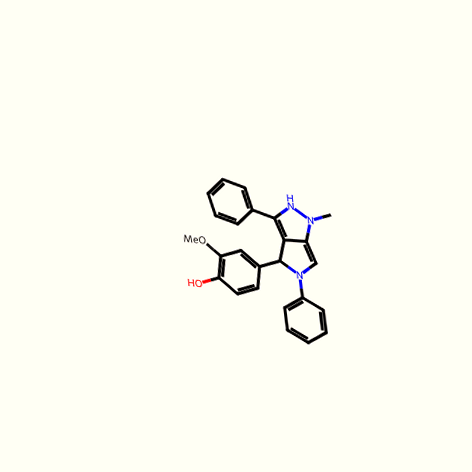 COc1cc(C2C3=C(c4ccccc4)NN(C)C3=CN2c2ccccc2)ccc1O